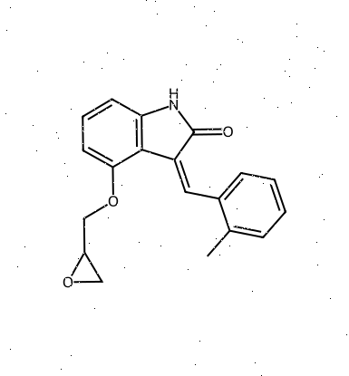 Cc1ccccc1C=C1C(=O)Nc2cccc(OCC3CO3)c21